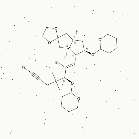 CCC#CCC(C)(C)[C@H](OC1CCCCO1)C(Br)=C[C@@H]1[C@H]2CC3(C[C@H]2C[C@H]1OC1CCCCO1)OCCO3